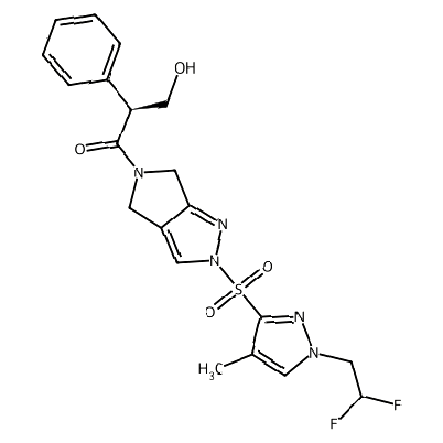 Cc1cn(CC(F)F)nc1S(=O)(=O)n1cc2c(n1)CN(C(=O)[C@H](CO)c1ccccc1)C2